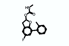 CNC(=O)OC1Cc2cc(F)cc(-c3ccccc3C)c2O1